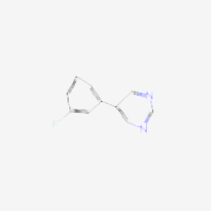 Fc1cccc(-c2cn[c]nc2)c1